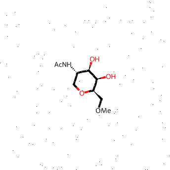 COC[C@H]1OC[C@H](NC(C)=O)[C@@H](O)[C@H]1O